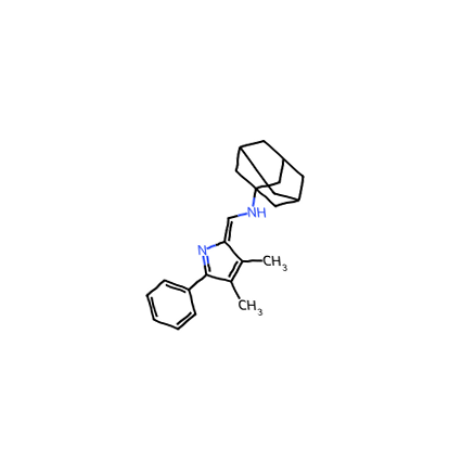 CC1=C(C)/C(=C\NC23CC4CC(CC(C4)C2)C3)N=C1c1ccccc1